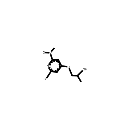 CC(O)COc1cc(Br)nc([S+](C)[O-])c1